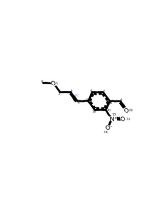 COC/C=C/c1ccc(C=O)c([N+](=O)[O-])c1